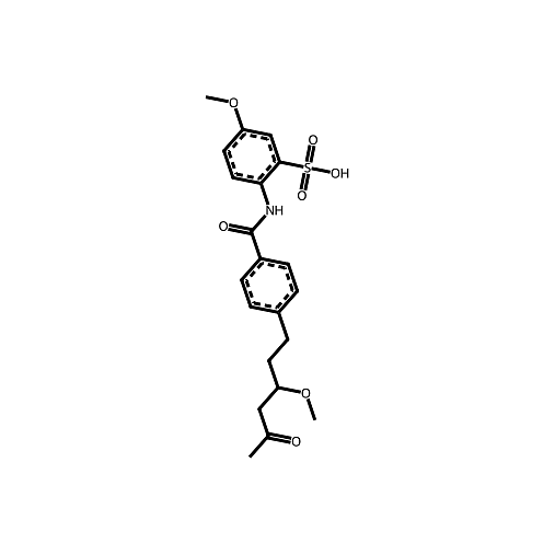 COc1ccc(NC(=O)c2ccc(CCC(CC(C)=O)OC)cc2)c(S(=O)(=O)O)c1